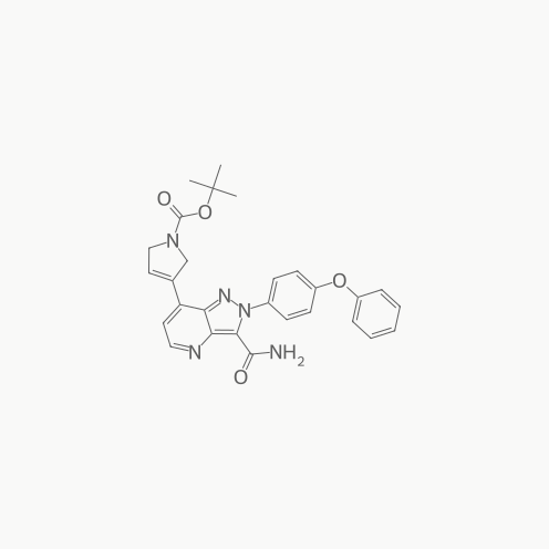 CC(C)(C)OC(=O)N1CC=C(c2ccnc3c(C(N)=O)n(-c4ccc(Oc5ccccc5)cc4)nc23)C1